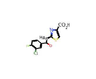 O=C([AsH]c1nc(C(=O)O)cs1)c1ccc(F)c(Cl)c1